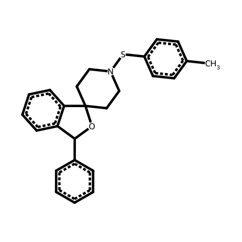 Cc1ccc(SN2CCC3(CC2)OC(c2ccccc2)c2ccccc23)cc1